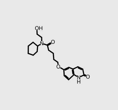 O=C(CCCCOc1ccc2[nH]c(=O)ccc2c1)N(CCO)C1CCCCC1